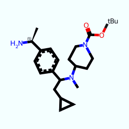 C[C@H](N)c1ccc(C(CC2CC2)N(C)C2CCN(C(=O)OC(C)(C)C)CC2)cc1